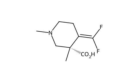 CN1CCC(=C(F)F)[C@](C)(C(=O)O)C1